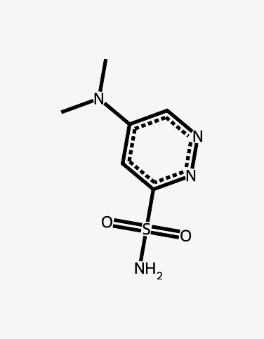 CN(C)c1cnnc(S(N)(=O)=O)c1